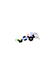 Cc1[nH]c2c(C(=O)N3CCN(c4ccc(Cl)s4)CC3)cccc2c1C